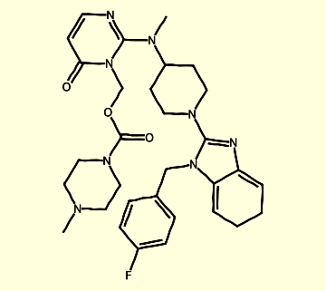 CN1CCN(C(=O)OCn2c(N(C)C3CCN(c4nc5c(n4Cc4ccc(F)cc4)=CCCC=5)CC3)nccc2=O)CC1